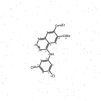 CCOc1cc2nnnc(Nc3cc(Cl)cc(Cl)c3)c2cc1OC